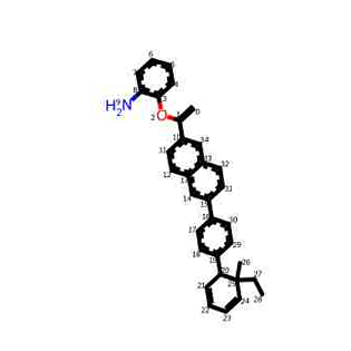 C=C(Oc1ccccc1N)c1ccc2cc(-c3ccc(C4C=CC=CC4(C)CC)cc3)ccc2c1